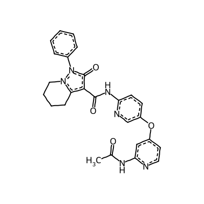 CC(=O)Nc1cc(Oc2ccc(NC(=O)c3c4n(n(-c5ccccc5)c3=O)CCCC4)nc2)ccn1